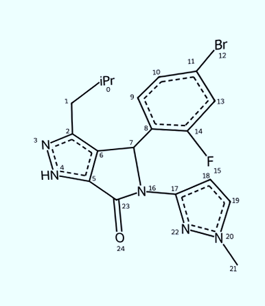 CC(C)Cc1n[nH]c2c1C(c1ccc(Br)cc1F)N(c1ccn(C)n1)C2=O